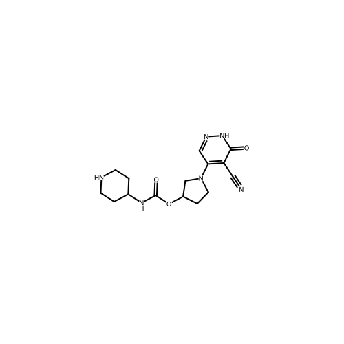 N#Cc1c(N2CCC(OC(=O)NC3CCNCC3)C2)cn[nH]c1=O